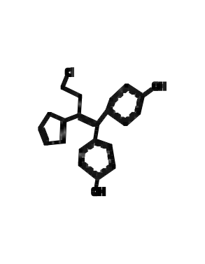 Oc1ccc(C(=C(CCCl)C2=CC=CC2)c2ccc(O)cc2)cc1